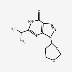 CC(C)c1nc2c(cnn2C2CCOCC2)c(=O)[nH]1